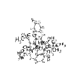 CC(C)C(C(=O)NC(Cc1ccc(O)c(C(C)(C)C)c1)c1ncno1)N(C)C(=O)C(Cc1ccc(F)cc1)NC(=O)OC(C)(C)C